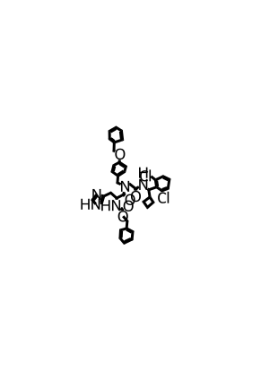 O=C(CN(Cc1ccc(OCc2ccccc2)cc1)C(=O)C(Cc1c[nH]cn1)NC(=O)OCc1ccccc1)NC(c1c(Cl)cccc1Cl)C1CCC1